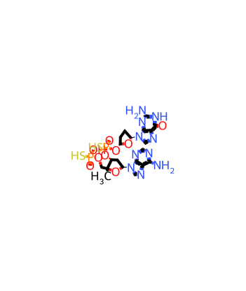 CC1(COP(=O)(O)S)O[C@@H](n2cnc3c(N)ncnc32)C[C@@H]1OP(=O)(S)O[C@@H]1CC[C@H](n2cnc3c(=O)[nH]c(N)nc32)O1